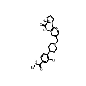 CCNC(=O)c1ccc(N2CCN(Cc3cnc4c(c3)NC(=O)[C@@H]3CCCN43)CC2)c(Cl)c1